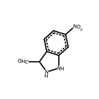 O=CC1NNc2cc([N+](=O)[O-])ccc21